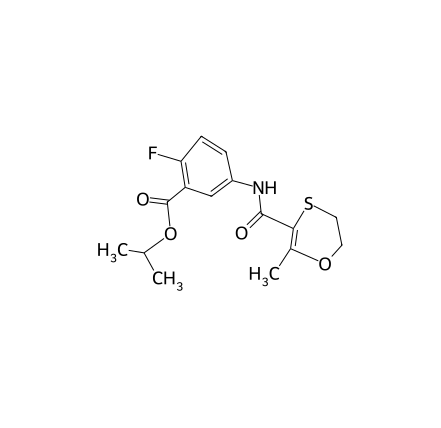 CC1=C(C(=O)Nc2ccc(F)c(C(=O)OC(C)C)c2)SCCO1